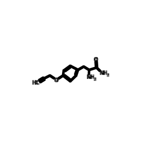 C#CCOc1ccc(CC(N)C(N)=O)cc1